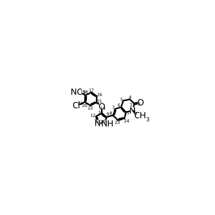 CN1C(=O)CCc2cc(-c3[nH]ncc3Oc3ccc(C#N)c(Cl)c3)ccc21